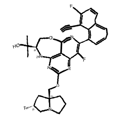 C#Cc1c(F)ccc2cccc(-c3nc4c5c(nc(OC[C@@]67CCCN6C[C@H](F)C7)nc5c3F)N[C@@H](C(C)(C)O)CO4)c12